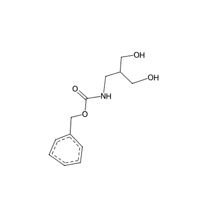 O=C(NCC(CO)CO)OCc1ccccc1